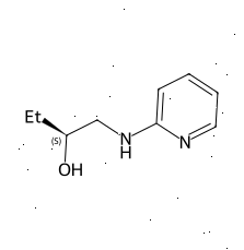 CC[C@H](O)CNc1ccccn1